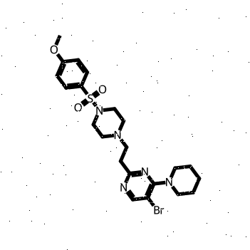 COc1ccc(S(=O)(=O)N2CCN(CCc3ncc(Br)c(N4CCCCC4)n3)CC2)cc1